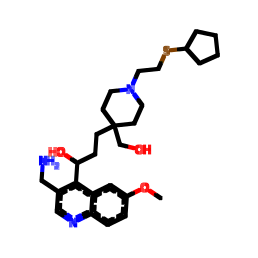 COc1ccc2ncc(CN)c(C(O)CCC3(CO)CCN(CCSC4CCCC4)CC3)c2c1